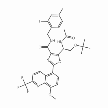 COc1ccc(-c2nc(C(=O)NCc3ccc(C)cc3F)c([C@H](COC(C)(C)C)NC(C)=O)o2)c2ccc(C(F)(F)F)nc12